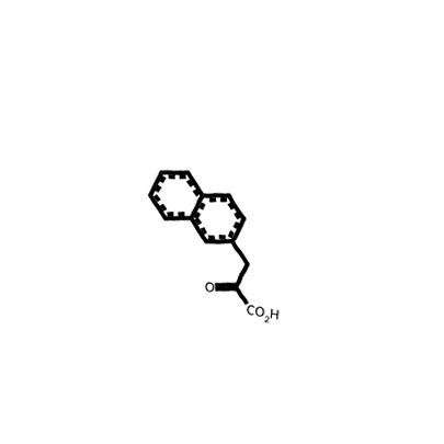 O=C(O)C(=O)Cc1ccc2ccccc2c1